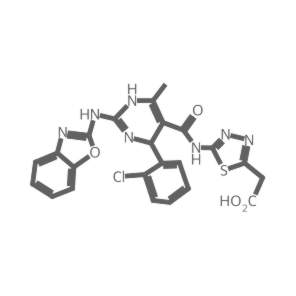 CC1=C(C(=O)Nc2nnc(CC(=O)O)s2)C(c2ccccc2Cl)N=C(Nc2nc3ccccc3o2)N1